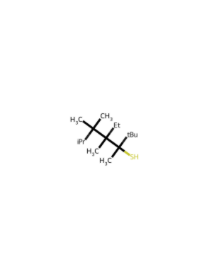 CCC(C)(C(C)(C)C(C)C)C(C)(S)C(C)(C)C